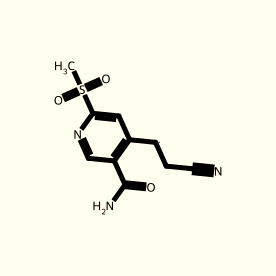 CS(=O)(=O)c1cc([CH]CC#N)c(C(N)=O)cn1